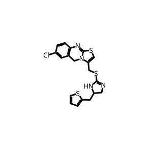 Clc1ccc2c(c1)CN1C(CSC3=NCC(Cc4cccs4)N3)=CSC1=N2